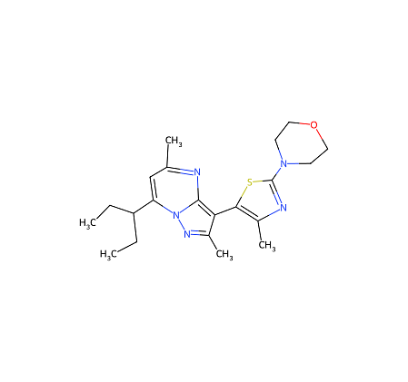 CCC(CC)c1cc(C)nc2c(-c3sc(N4CCOCC4)nc3C)c(C)nn12